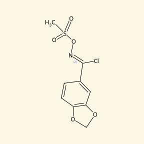 CS(=O)(=O)O/N=C(\Cl)c1ccc2c(c1)OCO2